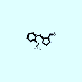 COc1ccccc1C=C1CCCC1C=O